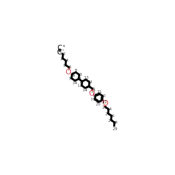 [CH2+][CH-]CCCCCOC1CCC(C2CCC(COc3ccc(OCCCCCCC)cc3)CC2)CC1